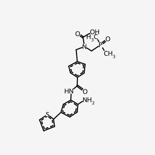 CP(C)(=O)CN(Cc1ccc(C(=O)Nc2cc(-c3cccs3)ccc2N)cc1)C(=O)O